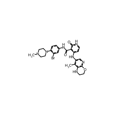 Cc1c(Nc2cc[nH]c(=O)c2C(=O)Nc2ccc(N3CCN(C)CC3)c(Br)c2)cnc2c1NCCO2